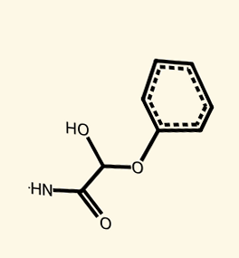 [NH]C(=O)C(O)Oc1ccccc1